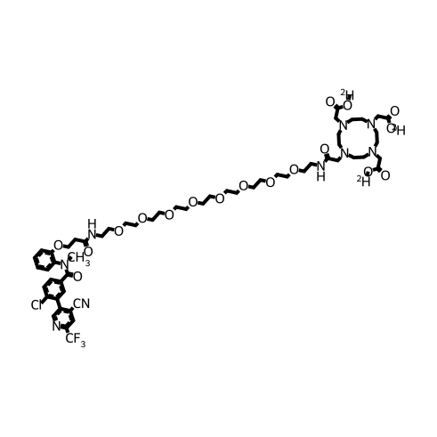 [2H]OC(=O)CN1CCN(CC(=O)NCCOCCOCCOCCOCCOCCOCCOCCOCCNC(=O)CCOc2ccccc2N(C)C(=O)c2ccc(Cl)c(-c3cnc(C(F)(F)F)cc3C#N)c2)CCN(CC(=O)O[2H])CCN(CC(=O)O[2H])CC1